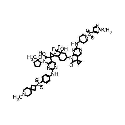 CN1CCC2(CC1)CC(S(=O)(=O)c1ccc(Nc3ncc4c(n3)N([C@@H]3CCC[C@@]3(C)O)C(=O)C43CC3C3CCC(N4C(=O)C5(CC5)c5cnc(NC6CCN(S(=O)(=O)c7cnn(C)c7)CC6)nc54)C[C@@]3(O)C(F)(F)F)cc1)C2